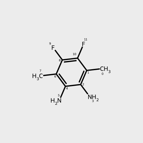 Cc1c(N)c(N)c(C)c(F)c1F